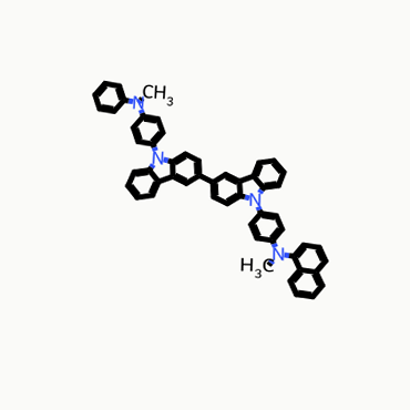 CN(c1ccccc1)c1ccc(-n2c3ccccc3c3cc(-c4ccc5c(c4)c4ccccc4n5-c4ccc(N(C)c5cccc6ccccc56)cc4)ccc32)cc1